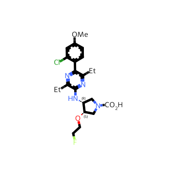 CCc1nc(-c2ccc(OC)cc2Cl)c(CC)nc1N[C@@H]1CN(C(=O)O)C[C@@H]1OCCF